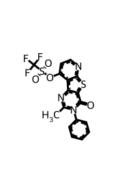 Cc1nc2c(sc3nccc(OS(=O)(=O)C(F)(F)F)c32)c(=O)n1-c1ccccc1